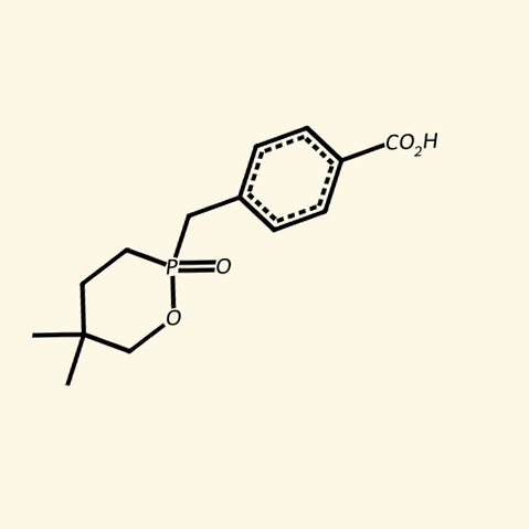 CC1(C)CCP(=O)(Cc2ccc(C(=O)O)cc2)OC1